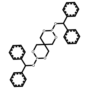 c1ccc(C(OP2OCC3(CO2)COP(OC(c2ccccc2)c2ccccc2)OC3)c2ccccc2)cc1